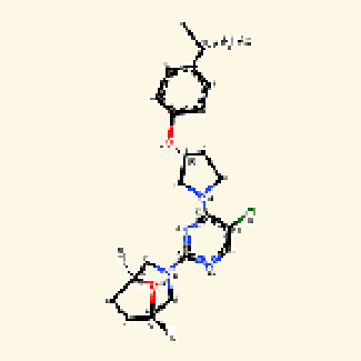 CC(=O)N[C@@H](C)c1ccc(O[C@@H]2CCN(c3nc(N4C[C@@H]5CC[C@@H](C4)O5)ncc3Cl)C2)cc1